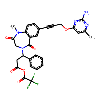 Cc1cc(OCC#Cc2ccc3c(c2)C(=O)N(C(CC(=O)OC(=O)C(F)(F)F)c2ccccc2)CC(=O)N3C)nc(N)n1